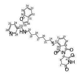 O=C1CCC(N2C(=O)c3cccc(SCCCCCCCNC(c4cccnc4)c4cc5ccccc5o4)c3C2=O)C(=O)N1